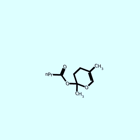 CCCC(=O)OC1(C)CCC(C)=CO1